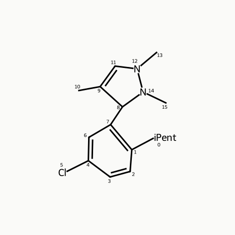 CCCC(C)c1ccc(Cl)cc1C1C(C)=CN(C)N1C